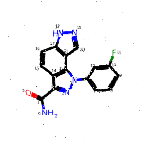 NC(=O)c1nn(-c2cccc(F)c2)c2c1ccc1[nH]ncc12